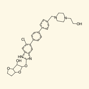 OCCN1CCN(Cc2ccc(-c3ccc(-c4cc5nc(OC6OC7CCOC7C6O)[nH]c5cc4Cl)cc3)cc2)CC1